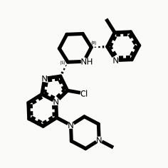 Cc1cccnc1[C@H]1CCC[C@@H](c2nc3cccc(N4CCN(C)CC4)n3c2Cl)N1